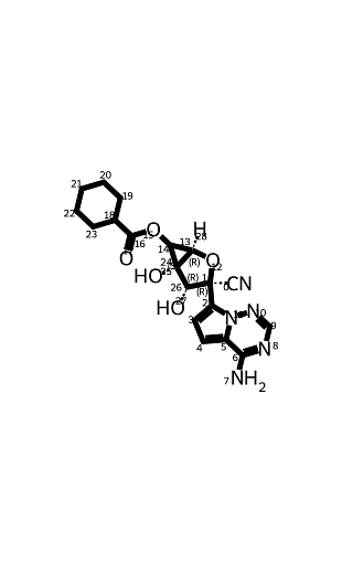 N#C[C@@]1(c2ccc3c(N)ncnn23)O[C@@H]2C(OC(=O)C3CCCCC3)[C@]2(O)[C@H]1O